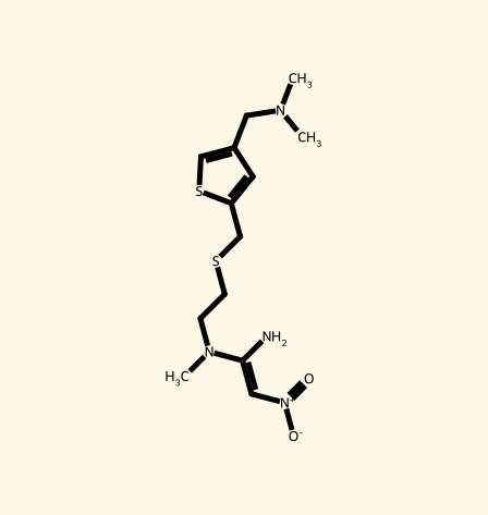 CN(C)Cc1csc(CSCCN(C)C(N)=C[N+](=O)[O-])c1